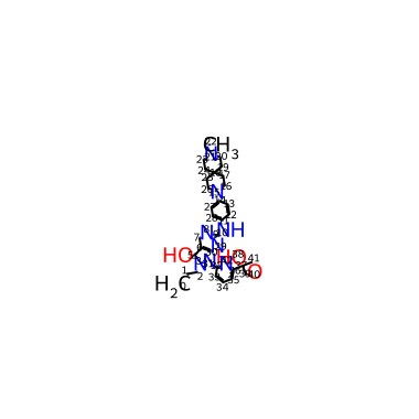 C=CCN1C(O)c2cnc(Nc3ccc(N4CCC5(CCN(C)CC5)CC4)cc3)nc2N1c1cccc(C2(O)COC2)n1